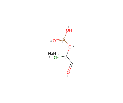 O=CC(Cl)OS(=O)O.[NaH]